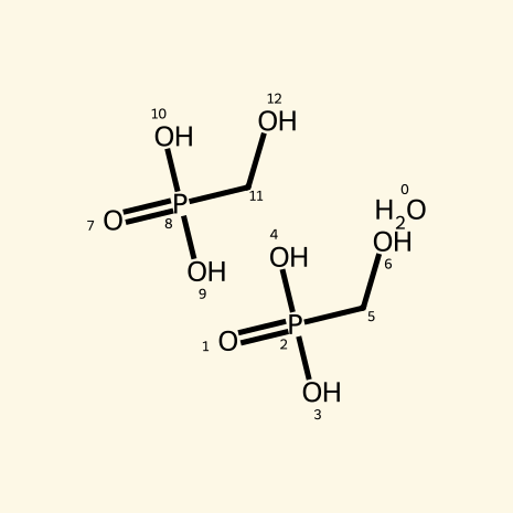 O.O=P(O)(O)CO.O=P(O)(O)CO